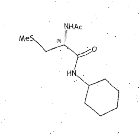 CSC[C@H](NC(C)=O)C(=O)NC1CCCCC1